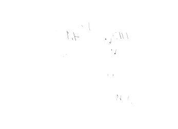 CC(N)COc1cc(C(=O)NC2CC2)c(Cl)nn1.Cl